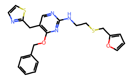 c1ccc(COc2nc(NCCSCc3ccco3)ncc2Cc2nccs2)cc1